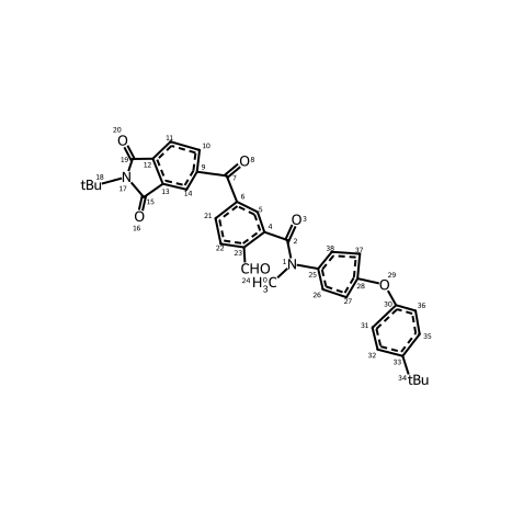 CN(C(=O)c1cc(C(=O)c2ccc3c(c2)C(=O)N(C(C)(C)C)C3=O)ccc1C=O)c1ccc(Oc2ccc(C(C)(C)C)cc2)cc1